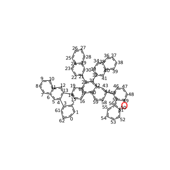 c1ccc(-c2cc3ccccc3cc2-c2ccc3c(c2)c(-c2ccc4ccccc4c2)c(-c2ccc4ccccc4c2)c2cc(-c4cccc5oc6ccccc6c45)ccc23)cc1